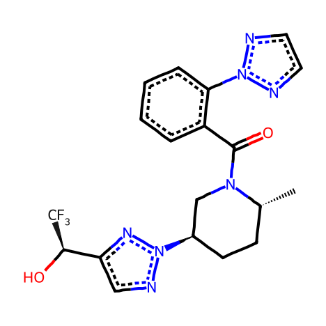 C[C@@H]1CC[C@@H](n2ncc([C@@H](O)C(F)(F)F)n2)CN1C(=O)c1ccccc1-n1nccn1